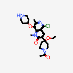 CCOC1(c2cc3c(Cl)nc(C)c(OC4CCNCC4)c3n(C)c2=O)CCN(C(C)=O)CC1